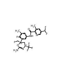 Cc1cc(C(F)F)cnc1C(=O)Nc1cc(C)c(F)c([C@]2(CF)C[C@@H](C(F)(F)F)N=C(N)O2)c1